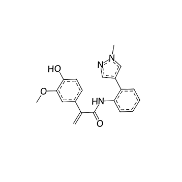 C=C(C(=O)Nc1ccccc1-c1cnn(C)c1)c1ccc(O)c(OC)c1